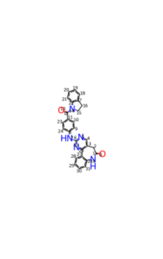 O=C1Cc2cnc(Nc3ccc(C(=O)N4CCc5ccccc54)cc3)nc2-c2ccccc2N1